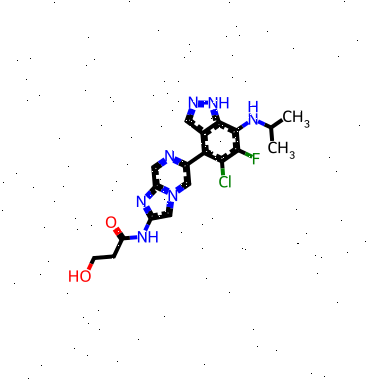 CC(C)Nc1c(F)c(Cl)c(-c2cn3cc(NC(=O)CCO)nc3cn2)c2cn[nH]c12